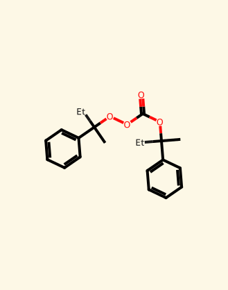 CCC(C)(OOC(=O)OC(C)(CC)c1ccccc1)c1ccccc1